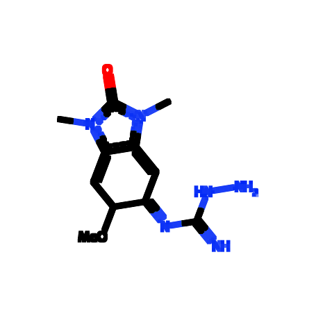 COC1C=c2c(n(C)c(=O)n2C)=CC1=NC(=N)NN